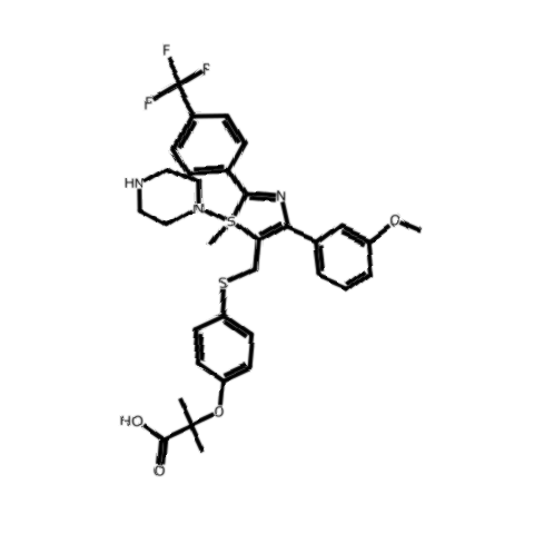 COc1cccc(C2=C(CSc3ccc(OC(C)(C)C(=O)O)cc3)S(C)(N3CCNCC3)C(c3ccc(C(F)(F)F)cc3)=N2)c1